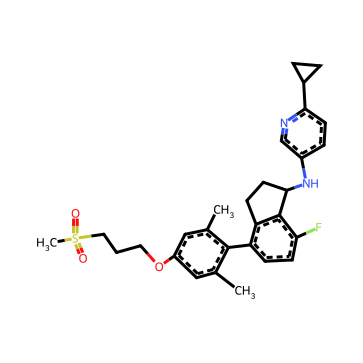 Cc1cc(OCCCS(C)(=O)=O)cc(C)c1-c1ccc(F)c2c1CCC2Nc1ccc(C2CC2)nc1